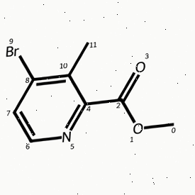 COC(=O)c1nccc(Br)c1C